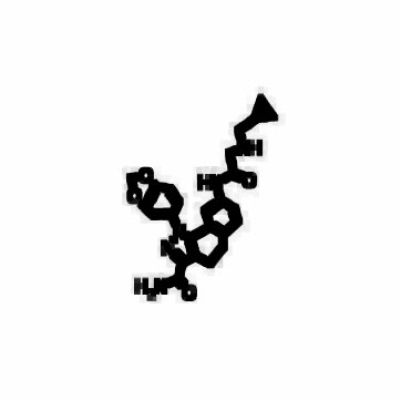 NC(=O)c1nn(-c2ccc3c(c2)OCO3)c2c1CCc1ccc(NC(=O)CNCC3CC3)cc1-2